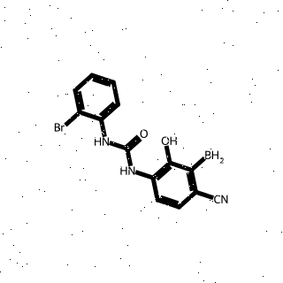 Bc1c(C#N)ccc(NC(=O)Nc2ccccc2Br)c1O